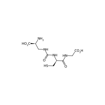 N[C@@H](CNC(=O)N[C@H](CS)C(=O)NCC(=O)O)C(=O)O